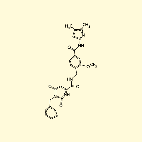 Cc1cc(NC(=O)c2ccc(CNC(=O)c3cc(=O)n(Cc4ccccc4)c(=O)[nH]3)c(OC(F)(F)F)c2)nn1C